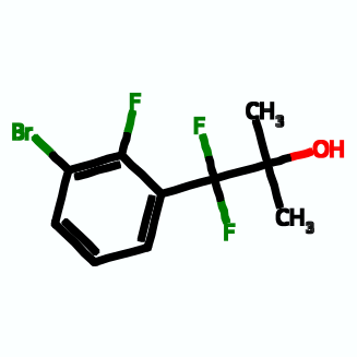 CC(C)(O)C(F)(F)c1cccc(Br)c1F